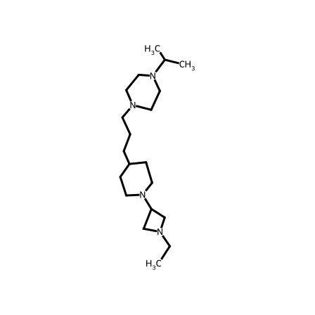 CCN1CC(N2CCC(CCCN3CCN(C(C)C)CC3)CC2)C1